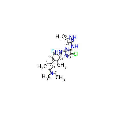 CCC(CCN(C)CC)C1=CC(F)=C(Nc2ncc(Cl)c(Nc3cc(C)[nH]n3)n2)CC1C